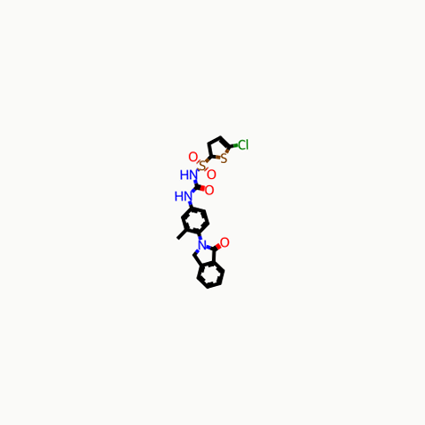 Cc1cc(NC(=O)NS(=O)(=O)C2CC=C(Cl)S2)ccc1N1Cc2ccccc2C1=O